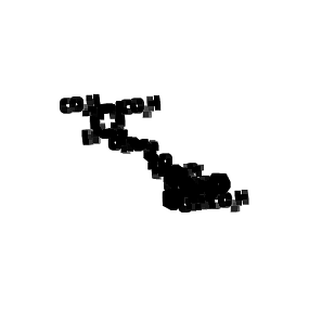 CCN1CCN(CC(=O)O)CCN(CC(=O)O)CCN(CC(=O)N(C)CCCN(C)CCCN(C)C(=O)c2ccc(-n3nc(C(=O)NC(C(=O)O)C4CCCCC4)cc3-c3c(OC)cccc3OC)c(C(C)C)c2)CC1